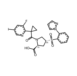 O=C(O)[C@@H]1C[C@@H](S(=O)(=O)c2ccccc2-n2cccn2)CN1C(=O)C1(c2ncc(I)cc2F)CC1